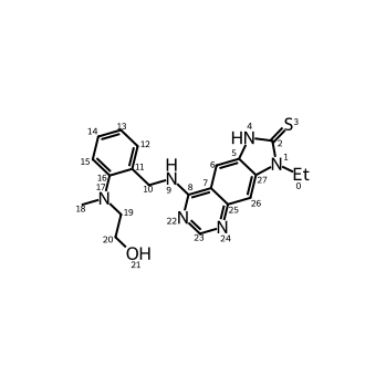 CCn1c(=S)[nH]c2cc3c(NCc4ccccc4N(C)CCO)ncnc3cc21